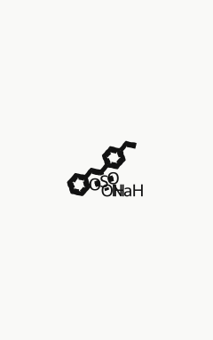 C=Cc1ccc(C(=Cc2ccccc2)S(=O)(=O)O)cc1.[NaH]